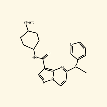 CCCCCC1CCC(NC(=O)c2cnn3ccc(N(C)c4cccnc4)nc23)CC1